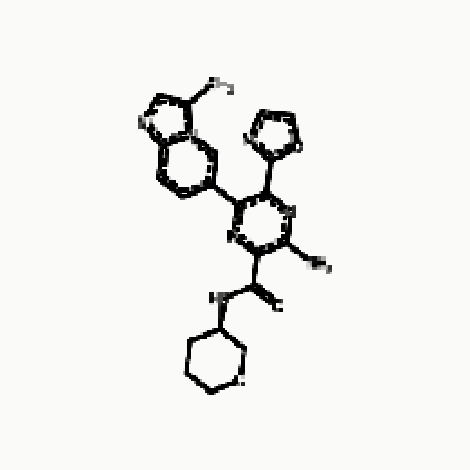 Cc1cnc2ccc(-c3nc(C(=O)N[C@@H]4CCCOC4)c(N)nc3-c3ncco3)cn12